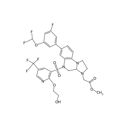 COC(=O)CN1CCN2c3ccc(-c4cc(F)cc(OC(F)F)c4)cc3N(S(=O)(=O)c3cc(C(F)(F)F)cnc3OCCO)CC12